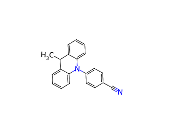 CC1c2ccccc2N(c2ccc(C#N)cc2)c2ccccc21